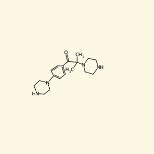 CC(C)(C(=O)c1ccc(N2CCNCC2)cc1)N1CCNCC1